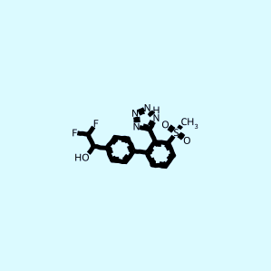 CS(=O)(=O)c1cccc(-c2ccc(C(O)C(F)F)cc2)c1-c1nnn[nH]1